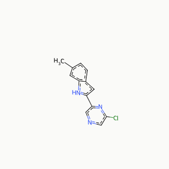 Cc1ccc2cc(-c3cncc(Cl)n3)[nH]c2c1